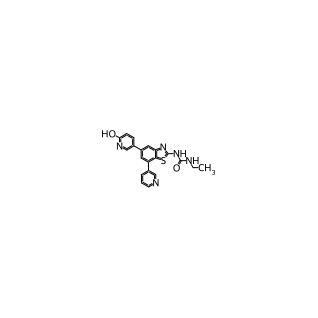 CCNC(=O)Nc1nc2cc(-c3ccc(O)nc3)cc(-c3cccnc3)c2s1